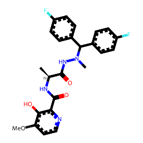 COc1ccnc(C(=O)N[C@@H](C)C(=O)NN(C)C(c2ccc(F)cc2)c2ccc(F)cc2)c1O